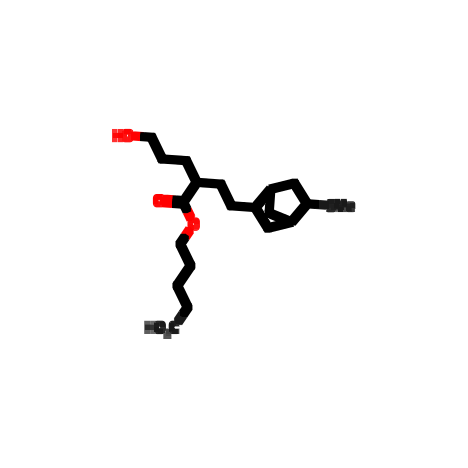 CSC1CC2CC1CC2CCC(CCCO)C(=O)OCCCCC(=O)O